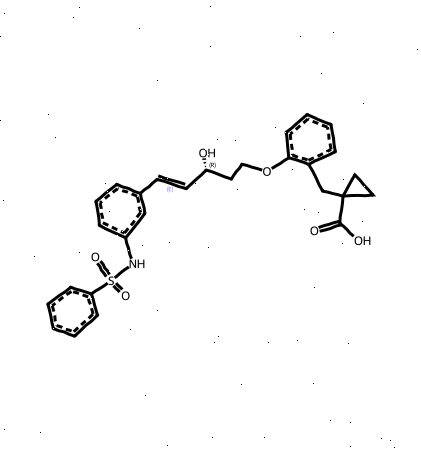 O=C(O)C1(Cc2ccccc2OCC[C@@H](O)/C=C/c2cccc(NS(=O)(=O)c3ccccc3)c2)CC1